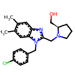 Cc1cc2nc(CN3CCC[C@@H]3CO)n(Cc3ccc(Cl)cc3)c2cc1C